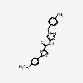 COc1ccc(-c2nc(C(=O)Nc3cn(Cc4ccc(C)cc4)nn3)co2)cc1